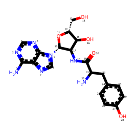 Nc1ncnc2c1ncn2[C@@H]1O[C@H](CO)C(O)C1NC(=O)C(N)Cc1ccc(O)cc1